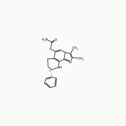 Cc1nc2c3c(c(OC(N)=O)cn2c1C)CC[C@@H](c1ccccc1)N3